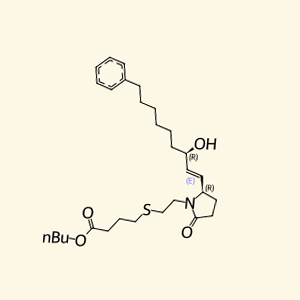 CCCCOC(=O)CCCSCCN1C(=O)CC[C@@H]1/C=C/[C@H](O)CCCCCCc1ccccc1